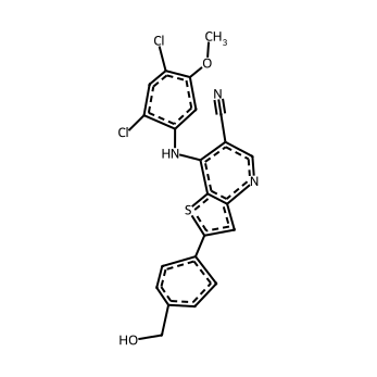 COc1cc(Nc2c(C#N)cnc3cc(-c4ccc(CO)cc4)sc23)c(Cl)cc1Cl